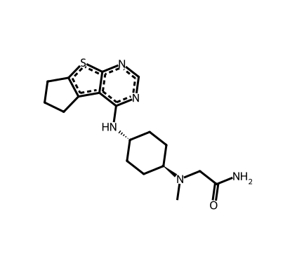 CN(CC(N)=O)[C@H]1CC[C@H](Nc2ncnc3sc4c(c23)CCC4)CC1